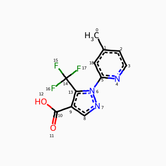 Cc1ccnc(-n2ncc(C(=O)O)c2C(F)(F)F)c1